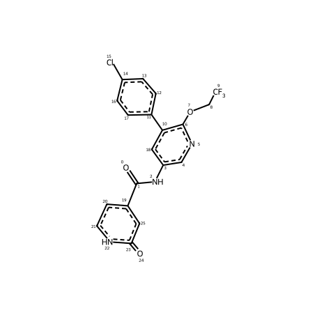 O=C(Nc1cnc(OCC(F)(F)F)c(-c2ccc(Cl)cc2)c1)c1cc[nH]c(=O)c1